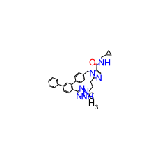 CCCCc1ncc(C(=O)NCC2CC2)n1Cc1ccc(-c2cc(-c3ccccc3)ccc2-c2nn[nH]n2)cc1